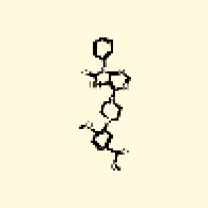 COC(=O)c1ccc(OC)c(N2CCN(c3ncnc4c3[nH]c(=O)n4-c3ccccc3)CC2)c1